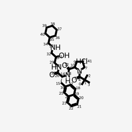 CC(C)(C)C(=O)N1CCCC1C(=O)N[C@H](Cc1ccc2ccccc2c1)C(=O)NCC(O)CNCC1CCCCC1.Cl